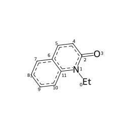 CCn1c(=O)ccc2c[c]ccc21